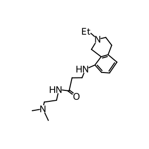 CCN1CCc2cccc(NCCC(=O)NCCN(C)C)c2C1